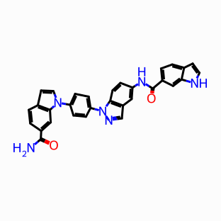 NC(=O)c1ccc2ccn(-c3ccc(-n4ncc5cc(NC(=O)c6ccc7cc[nH]c7c6)ccc54)cc3)c2c1